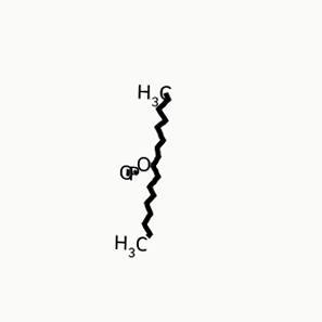 CCCCCCCCC(CCCCCCCC)OP=O